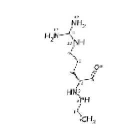 CCPN[C@H](C=O)CCCNC(N)N